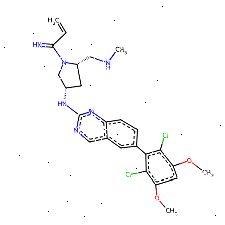 C=CC(=N)N1C[C@@H](Nc2ncc3cc(-c4c(Cl)c(OC)cc(OC)c4Cl)ccc3n2)C[C@H]1CNC